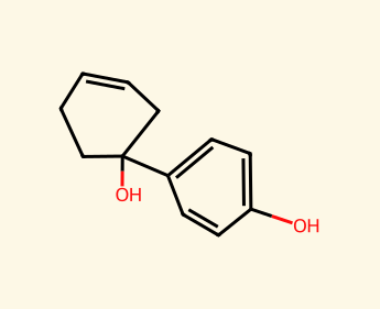 Oc1ccc(C2(O)CC=CCC2)cc1